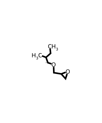 CCC(C)[CH]OCC1CO1